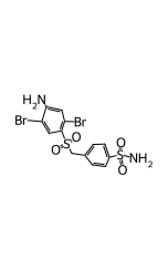 Nc1cc(Br)c(S(=O)(=O)Cc2ccc(S(N)(=O)=O)cc2)cc1Br